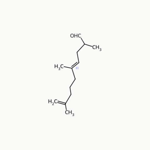 C=C(C)CCC/C(C)=C/CC(C)C=O